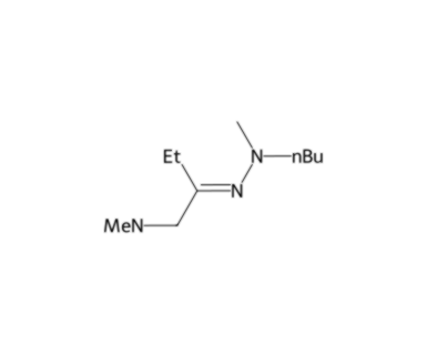 CCCCN(C)/N=C(\CC)CNC